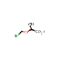 CC(OCBr)C(=O)O